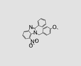 COc1ccc(Cn2c(-c3ccccc3)nc3cccc([N+](=O)[O-])c32)cc1